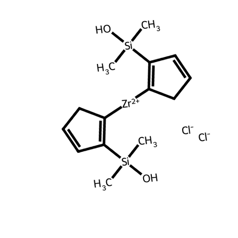 C[Si](C)(O)C1=[C]([Zr+2][C]2=C([Si](C)(C)O)C=CC2)CC=C1.[Cl-].[Cl-]